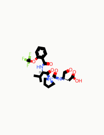 CC(C)[C@H](NC(=O)c1ccccc1OC(F)(F)F)C(=O)[N+]1(C(=O)N[C@H](C=O)CC(=O)O)CCCC1